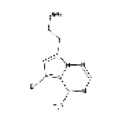 COCCc1cc(Br)c2c(N)ncnn12